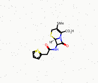 CSC1=C(C(=O)O)N2C(=O)C(NC(=O)Cc3cccs3)[C@H]2SC1